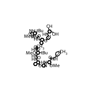 C#Cc1cc(CO)cc(Nc2cc(Oc3ccc(NC(=O)Nc4cc(C(C)(C)C)cc(C(N)=O)c4OC)c4ccccc34)ccn2)c1.COc1cc(Nc2cc(Oc3ccc(NC(=O)Nc4cc(C(C)(C)C)cc(NS(C)(=O)=O)c4OC)c4ccccc34)ccn2)cc(C(=O)NCCN2CCCN(C)CC2)c1